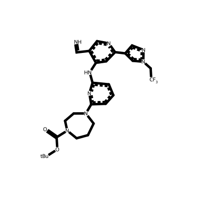 CC(C)(C)OC(=O)N1CCCN(c2cccc(Nc3cc(-c4cnn(CC(F)(F)F)c4)ncc3C=N)n2)CC1